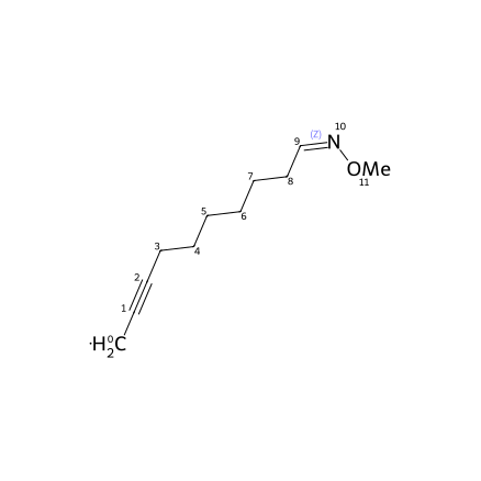 [CH2]C#CCCCCCC/C=N\OC